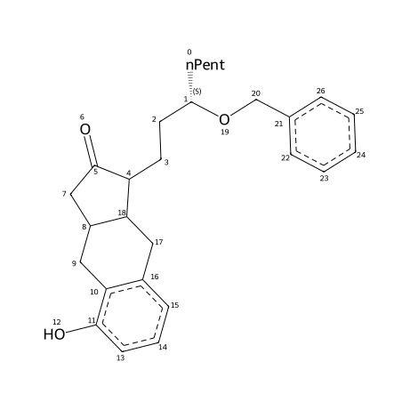 CCCCC[C@@H](CCC1C(=O)CC2Cc3c(O)cccc3CC21)OCc1ccccc1